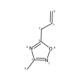 C=C[CH]c1nc(C)no1